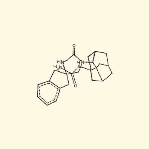 NC(=O)NC12CC3CC(C1)C(N1CC4(Cc5ccccc5C4)NC1=O)C(C3)C2